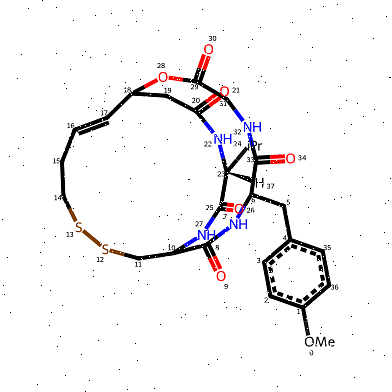 COc1ccc(CC2NC(=O)C3CSSCC/C=C/C(CC(=O)N[C@H](C(C)C)C(=O)N3)OC(=O)CNC2=O)cc1